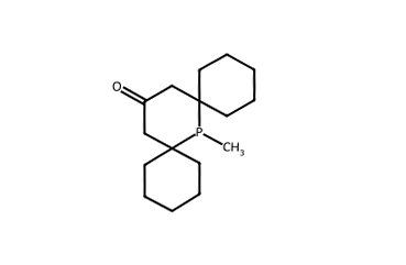 CP1C2(CCCCC2)CC(=O)CC12CCCCC2